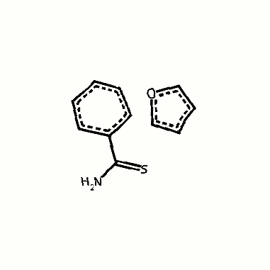 NC(=S)c1ccccc1.c1ccoc1